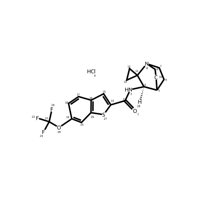 Cl.O=C(N[C@@H]1C2CCN(CC2)C12CC2)c1cc2ccc(OC(F)(F)F)cc2s1